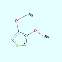 CCCCOc1cscc1OCCCC